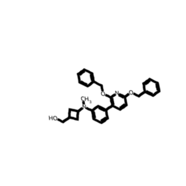 CN(c1cccc(-c2ccc(OCc3ccccc3)nc2OCc2ccccc2)c1)C1CC(CO)C1